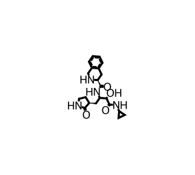 O=C(NC1CC1)C(O)C(C[C@@H]1CCNC1=O)NC(=O)[C@@H]1Cc2ccccc2CN1